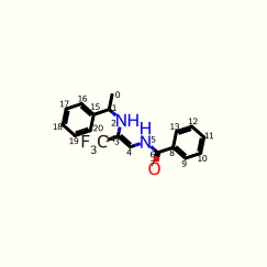 CC(N/C(=C\NC(=O)c1ccccc1)C(F)(F)F)c1ccccc1